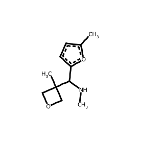 CNC(c1ccc(C)o1)C1(C)COC1